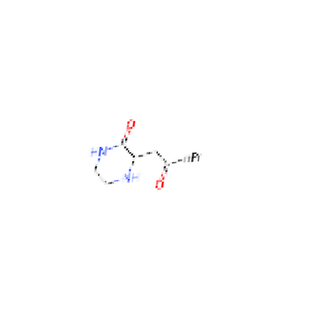 CCCC(=O)CC1NCCNC1=O